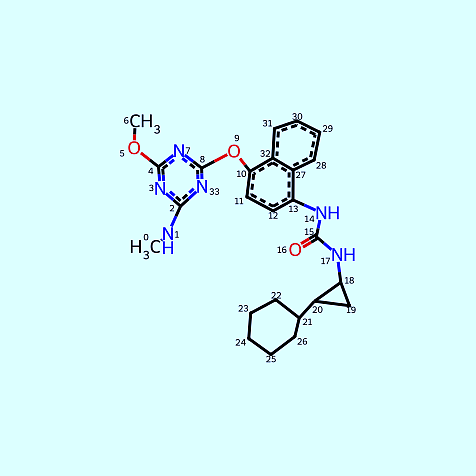 CNc1nc(OC)nc(Oc2ccc(NC(=O)NC3CC3C3CCCCC3)c3ccccc23)n1